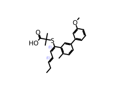 CC/C=C/C=C(/SC(C)(C)C(=O)O)c1cc(-c2cccc(OC)c2)ccc1C